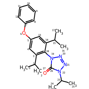 CC(C)c1cc(Oc2ccccc2)cc(C(C)C)c1-n1nnn(C(C)C)c1=O